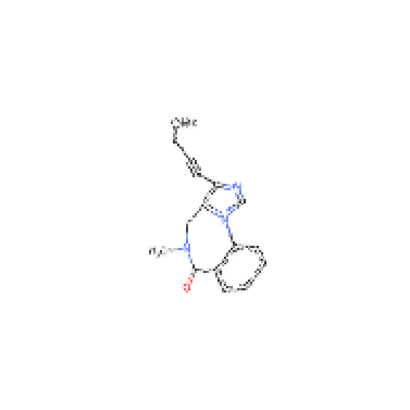 COCC#Cc1ncn2c1CN(C)C(=O)c1ccccc1-2